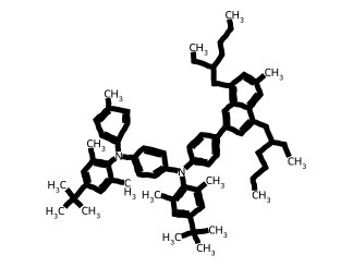 CCCCC(CC)Cc1cc(-c2ccc(N(c3ccc(N(c4ccc(C)cc4)c4c(C)cc(C(C)(C)C)cc4C)cc3)c3c(C)cc(C(C)(C)C)cc3C)cc2)cc2c(CC(CC)CCCC)cc(C)cc12